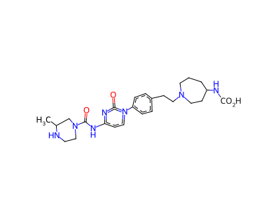 CC1CN(C(=O)Nc2ccn(-c3ccc(CCN4CCCC(NC(=O)O)CC4)cc3)c(=O)n2)CCN1